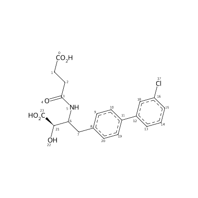 O=C(O)CCC(=O)NC(Cc1ccc(-c2cccc(Cl)c2)cc1)[C@@H](O)C(=O)O